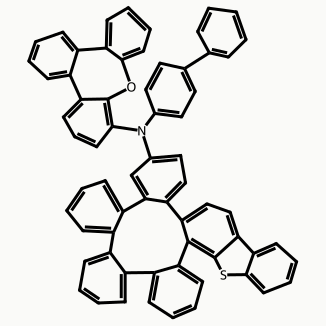 c1ccc(-c2ccc(N(c3ccc4c(c3)c3ccccc3c3ccccc3c3ccccc3c3c4ccc4c5ccccc5sc43)c3cccc4c3Oc3ccccc3-c3ccccc3-4)cc2)cc1